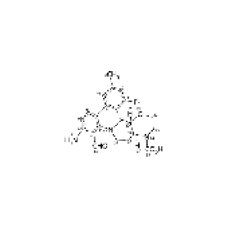 Cc1cc(F)cc(-c2cnc(N)c(C=O)c2N2CC[C@H]3[C@H](C2)OCCN3C(=O)O)c1